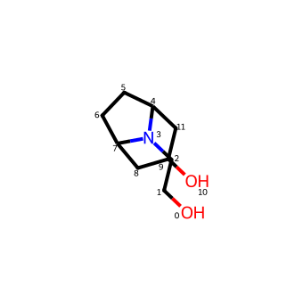 OCCN1C2CCC1CC(O)C2